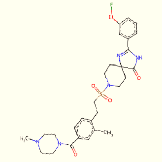 Cc1cc(C(=O)N2CCN(C)CC2)ccc1CCS(=O)(=O)N1CCC2(CC1)N=C(c1cccc(OF)c1)NC2=O